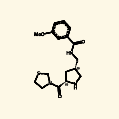 COc1cccc(C(=O)NC[C@@H]2CN[C@H](C(=O)N3CCSC3)C2)c1